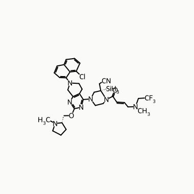 CN(C/C=C/C(=O)N1CCN(c2nc(OC[C@@H]3CCCN3C)nc3c2CCN(c2cccc4cccc(Cl)c24)C3)C[C@@]1([SiH3])CC#N)CC(F)(F)F